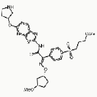 COCCCS(=O)(=O)c1ccc(/C(=N\O[C@@H]2CC[C@@H](OC)C2)C(=O)Nc2nc3ccc(OC4CCNC4)nc3s2)cc1